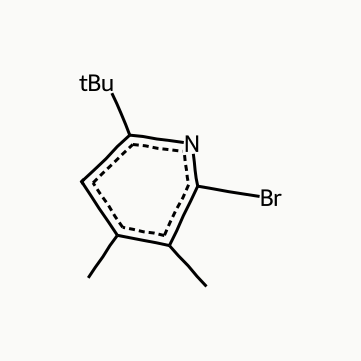 Cc1cc(C(C)(C)C)nc(Br)c1C